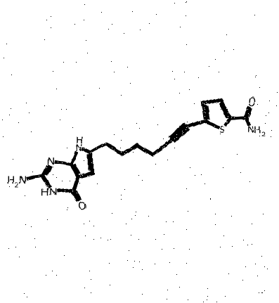 NC(=O)c1ccc(C#CCCCCc2cc3c(=O)[nH]c(N)nc3[nH]2)s1